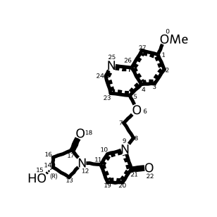 COc1ccc2c(OCCn3cc(N4C[C@H](O)CC4=O)ccc3=O)ccnc2c1